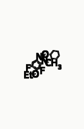 CCOc1c(F)cc2nc(OC3CCCCC3)n(C)c2c1F